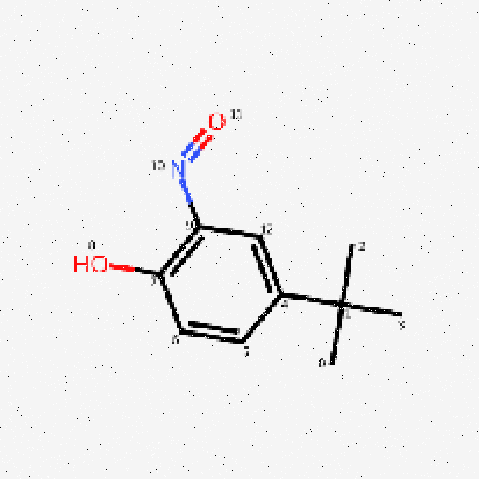 CC(C)(C)c1ccc(O)c(N=O)c1